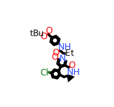 CCC(C(=O)Nc1ccc(C(=O)OC(C)(C)C)cc1)n1cc2c(cc1=O)-c1cc(Cl)ccc1CC1(CC1)NC2=O